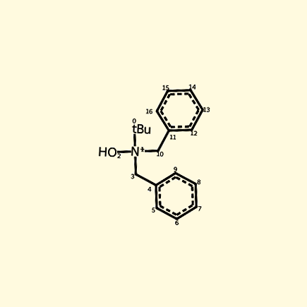 CC(C)(C)[N+](O)(Cc1ccccc1)Cc1ccccc1